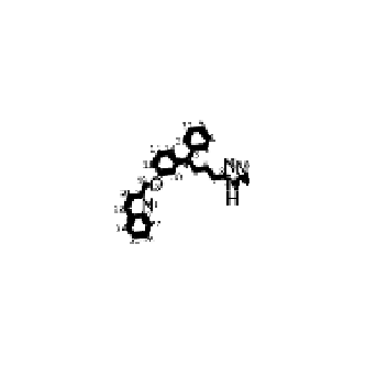 c1ccc(C(CCCc2nnn[nH]2)c2cccc(OCc3ccc4ccccc4n3)c2)cc1